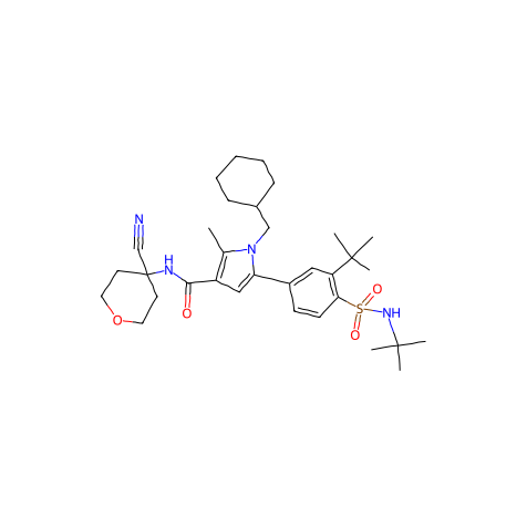 Cc1c(C(=O)NC2(C#N)CCOCC2)cc(-c2ccc(S(=O)(=O)NC(C)(C)C)c(C(C)(C)C)c2)n1CC1CCCCC1